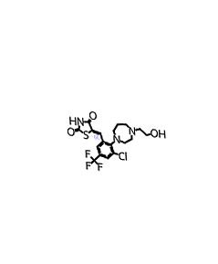 O=C1NC(=O)/C(=C/c2cc(C(F)(F)F)cc(Cl)c2N2CCCN(CCO)CC2)S1